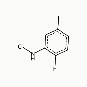 Cc1ccc(F)c(NCl)c1